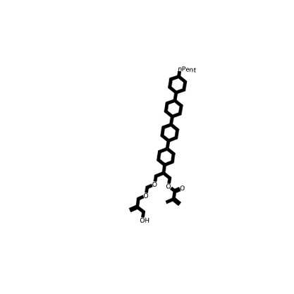 C=C(CO)COCOCC(COC(=O)C(=C)C)C1CCC(C2CCC(C3CCC(C4CCC(CCCCC)CC4)CC3)CC2)CC1